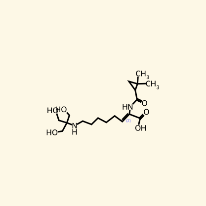 CC1(C)CC1C(=O)N/C(=C\CCCCCNC(CO)(CO)CO)C(=O)O